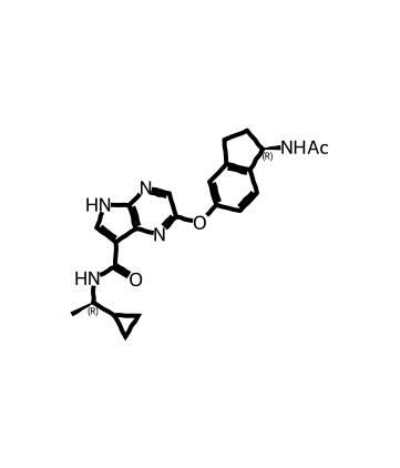 CC(=O)N[C@@H]1CCc2cc(Oc3cnc4[nH]cc(C(=O)N[C@H](C)C5CC5)c4n3)ccc21